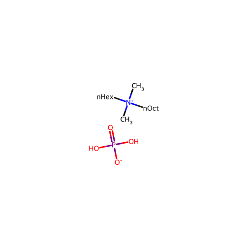 CCCCCCCC[N+](C)(C)CCCCCC.O=P([O-])(O)O